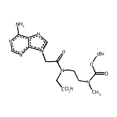 CN(CCN(CC(=O)O)C(=O)Cn1cnc2c(N)ncnc21)C(=O)OC(C)(C)C